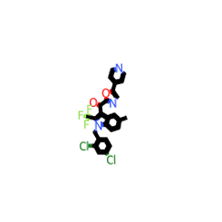 Cc1ccc2c(c1)c(C(=O)c1ncc(-c3ccncc3)o1)c(C(F)(F)F)n2Cc1ccc(Cl)cc1Cl